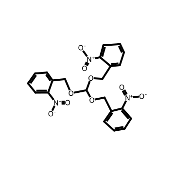 O=[N+]([O-])c1ccccc1COC(OCc1ccccc1[N+](=O)[O-])OCc1ccccc1[N+](=O)[O-]